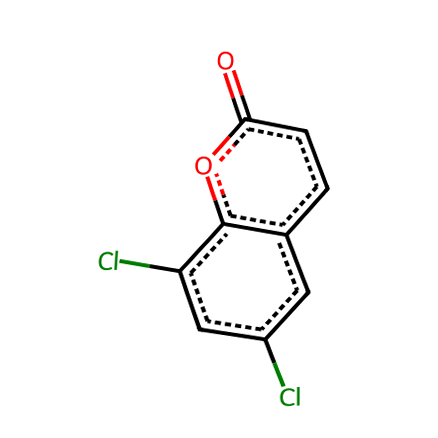 O=c1ccc2cc(Cl)cc(Cl)c2o1